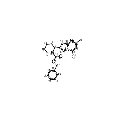 Cc1cc(Cl)n2nc([C@@H]3CCCCN3C(=O)OCc3ccccc3)cc2n1